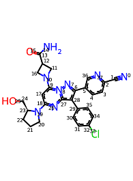 N#Cc1ccc(-c2nn3c(N4CC(C(N)=O)C4)cc(N4CCC[C@H]4CO)nc3c2-c2ccc(Cl)cc2)cn1